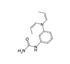 C/C=C\N(/C=C\C)c1cccc(NC(N)=O)c1